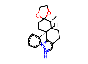 C[C@H]1[C@@H]2CCc3c[nH]nc3[C@@]2(c2ccccc2)CCC12OCCO2